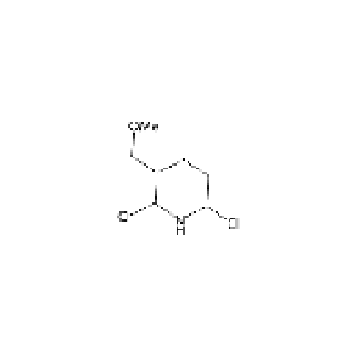 COCC1CCC(Cl)NC1Cl